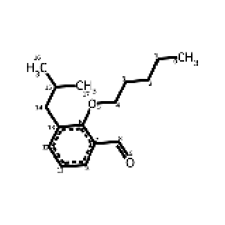 CCCCCOc1c(C=O)cccc1CC(C)C